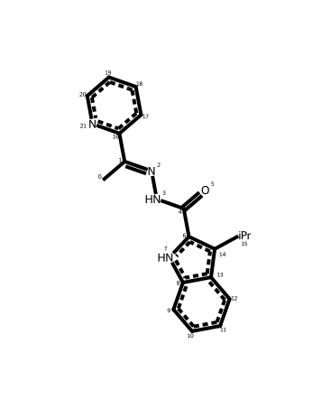 C/C(=N\NC(=O)c1[nH]c2ccccc2c1C(C)C)c1ccccn1